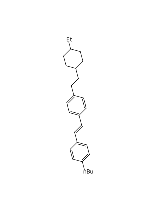 CCCCc1ccc(C=Cc2ccc(CCC3CCC(CC)CC3)cc2)cc1